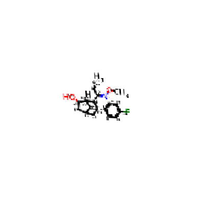 CCC(=NOC)[C@H]1[C@H](c2ccc(F)cc2)CC2CC(O)[C@@H]1C2